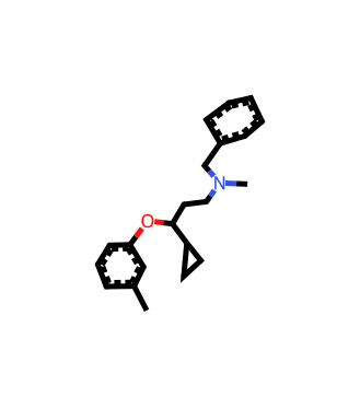 Cc1cccc(OC(CCN(C)Cc2ccccc2)C2CC2)c1